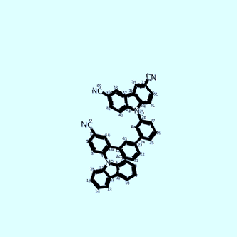 N#Cc1ccc(-n2c3ccccc3c3ccccc32)c(-c2cccc(-c3cccc(-n4c5ccc(C#N)cc5c5cc(C#N)ccc54)c3)c2)c1